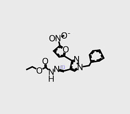 CCOC(=O)N/N=C/c1cn(Cc2ccccc2)nc1-c1ccc([N+](=O)[O-])o1